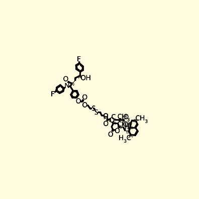 CCC(C)(C)C(=O)O[C@H]1C[C@@H](C)C=C2C=C[C@H](C)[C@H](CC[C@@H]3C[C@@H](OC(=O)OCCSSCCOC(=O)Oc4ccc(C5[C@@H](CC[C@H](O)c6ccc(F)cc6)C(=O)N5c5ccc(F)cc5)cc4)CC(=O)O3)[C@H]21